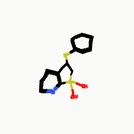 OS1(O)CC(Sc2ccccc2)c2cccnc21